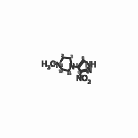 CN1CCN(c2c[nH]nc2[N+](=O)[O-])CC1